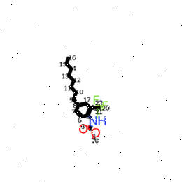 [CH2]OC(=O)Nc1ccc(CCCCCCCC)cc1C(F)(F)F